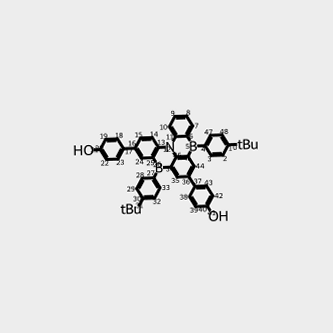 CC(C)(C)c1ccc(B2c3ccccc3N3c4ccc(-c5ccc(O)cc5)cc4B(c4ccc(C(C)(C)C)cc4)c4cc(-c5ccc(O)cc5)cc2c43)cc1